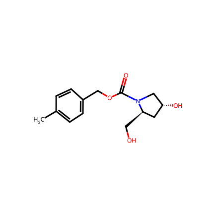 Cc1ccc(COC(=O)N2C[C@H](O)C[C@H]2CO)cc1